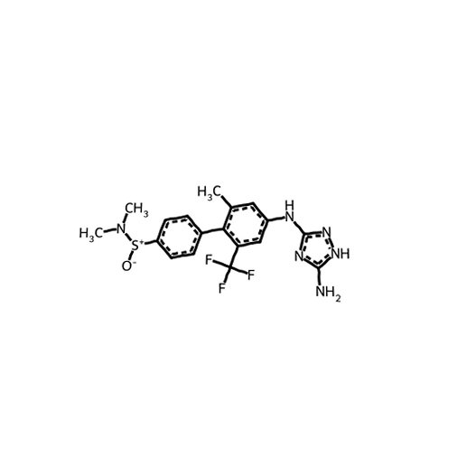 Cc1cc(Nc2n[nH]c(N)n2)cc(C(F)(F)F)c1-c1ccc([S+]([O-])N(C)C)cc1